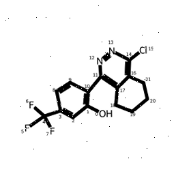 Oc1cc(C(F)(F)F)ccc1-c1nnc(Cl)c2c1CCCC2